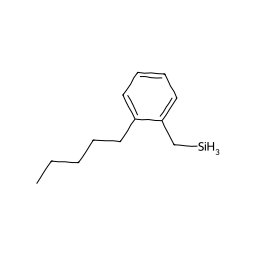 CCCCCc1ccccc1C[SiH3]